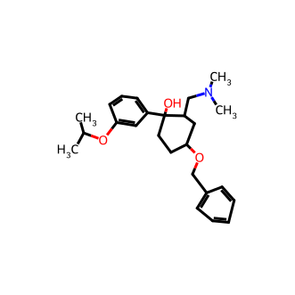 CC(C)Oc1cccc(C2(O)CCC(OCc3ccccc3)CC2CN(C)C)c1